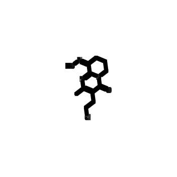 Cc1nc2n(c(=O)c1CCCl)CCC/C2=N/O